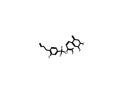 C=CCCc1ccc(C(F)(F)OC(/C=C\C2=CC(F)C(F)CC2=C)=C(/C)F)cc1F